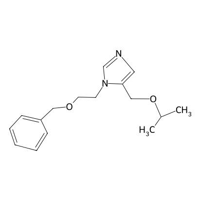 CC(C)OCc1cncn1CCOCc1ccccc1